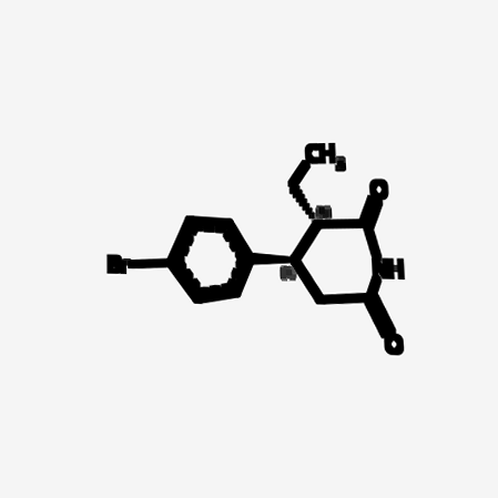 CC[C@@H]1C(=O)NC(=O)C[C@H]1c1ccc(Br)cc1